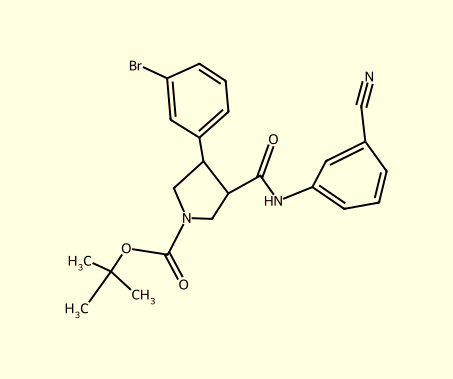 CC(C)(C)OC(=O)N1CC(C(=O)Nc2cccc(C#N)c2)C(c2cccc(Br)c2)C1